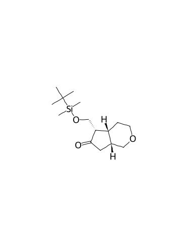 CC(C)(C)[Si](C)(C)OC[C@H]1C(=O)C[C@H]2COCC[C@H]21